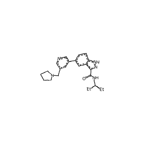 CCC(CC)NC(=O)c1n[nH]c2ccc(-c3cncc(CN4CCCC4)c3)cc12